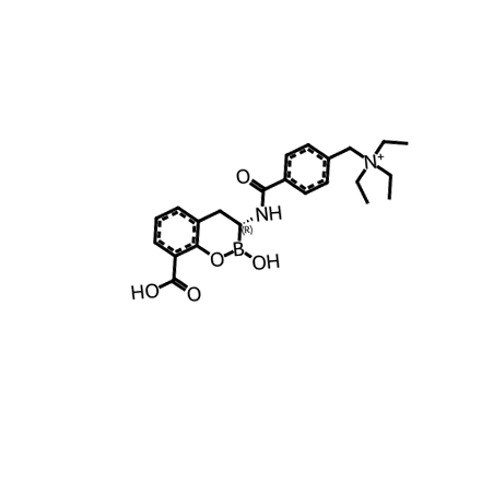 CC[N+](CC)(CC)Cc1ccc(C(=O)N[C@H]2Cc3cccc(C(=O)O)c3OB2O)cc1